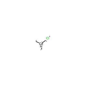 [CH3][GeH]([CH3])[CH3].[Cl]